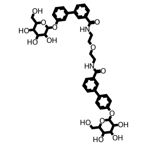 O=C(NCCOCCNC(=O)c1cccc(-c2cccc(OC3OC(CO)C(O)C(O)C3O)c2)c1)c1cccc(-c2ccc(OC3OC(CO)C(O)C(O)C3O)cc2)c1